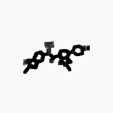 Cc1cc2cc(NC(=O)c3ccc(N4CCNCC4)c4cn(C)nc34)ccc2[nH]1.Cl